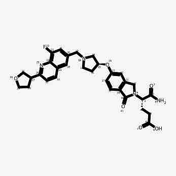 NC(=O)[C@H](CCC(=O)O)N1Cc2cc(O[C@H]3CCN(Cc4cc(F)c5nc(C6CCOC6)ccc5c4)C3)ccc2C1=O